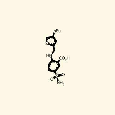 CCCCc1csc(CNc2ccc(S(N)(=O)=O)cc2C(=O)O)c1